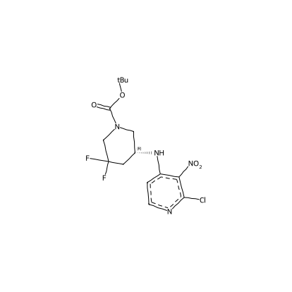 CC(C)(C)OC(=O)N1C[C@H](Nc2ccnc(Cl)c2[N+](=O)[O-])CC(F)(F)C1